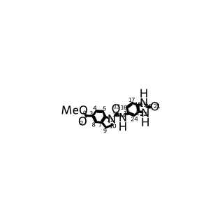 COC(=O)c1ccc2c(c1)CCN2C(=O)Nc1ccc2[nH]c(=O)[nH]c2c1